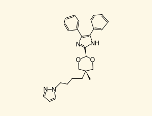 C[C@]1(CCCCn2cccn2)CO[C@H](c2nc(-c3ccccc3)c(-c3ccccc3)[nH]2)OC1